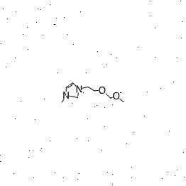 COCOCCN1C=CN(C)C1